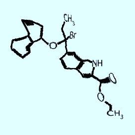 CCOC(=O)c1cc2ccc(C(Br)(CC)Oc3cccc4ccccc34)cc2[nH]1